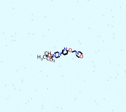 CC(C)(C)OC(=O)N1CCN(c2ccc(OCCN3CCOCC3)nc2)CC1